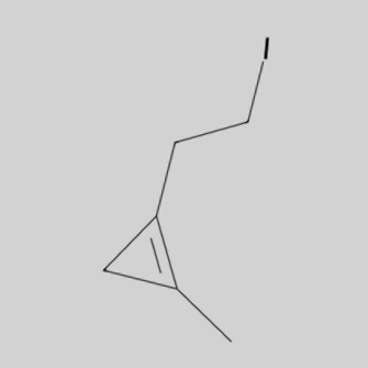 CC1=C(CCI)C1